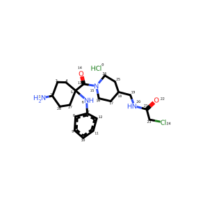 Cl.NC1CCC(Nc2ccccc2)(C(=O)N2CCC(CNC(=O)CCl)CC2)CC1